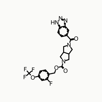 O=C(OCc1ccc(OC(F)(F)F)cc1F)N1CC2CN(C(=O)c3ccc4[nH]nnc4c3)CC2C1